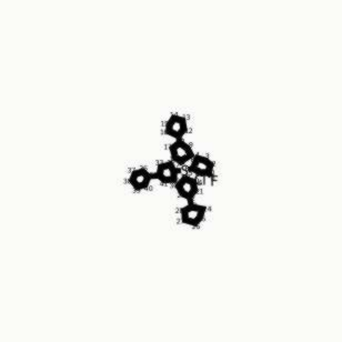 Fc1cccc(S(c2ccc(-c3ccccc3)cc2)(c2ccc(-c3ccccc3)cc2)c2ccc(-c3ccccc3)cc2)c1Cl